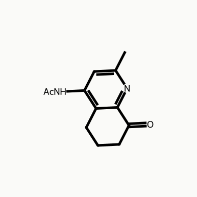 CC(=O)Nc1cc(C)nc2c1CCCC2=O